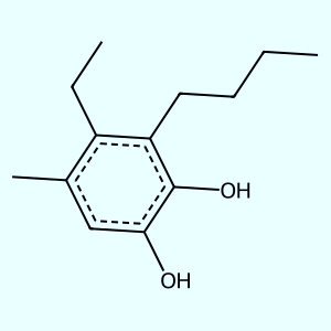 CCCCc1c(O)c(O)cc(C)c1CC